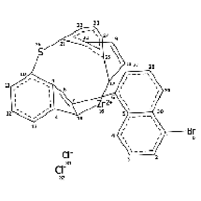 Brc1cccc2c(C3=Cc4c5cccc4[CH]3[Zr+2][CH]3C=Cc4c(cccc43)S5)cccc12.[Cl-].[Cl-]